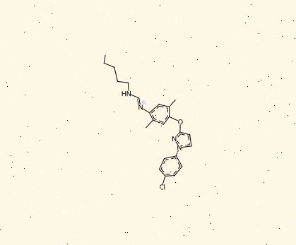 CCCCCN/C=N/c1cc(C)c(Oc2ccn(-c3ccc(Cl)cc3)n2)cc1C